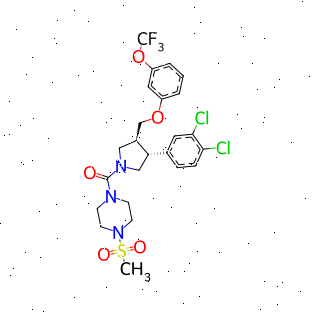 CS(=O)(=O)N1CCN(C(=O)N2C[C@@H](COc3cccc(OC(F)(F)F)c3)[C@H](c3ccc(Cl)c(Cl)c3)C2)CC1